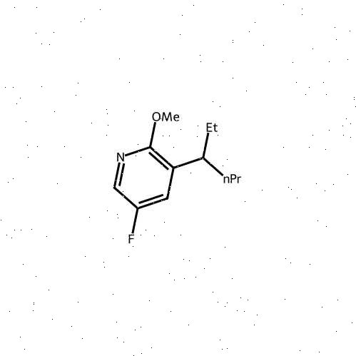 CCCC(CC)c1cc(F)cnc1OC